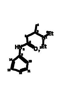 CCN(CC)C(C)CC(=O)Nc1ccccc1